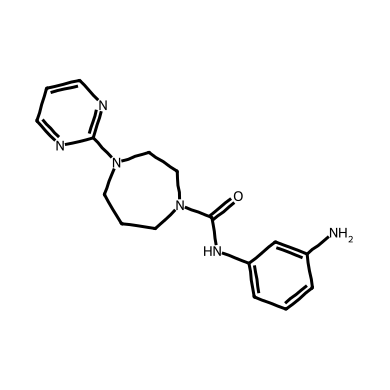 Nc1cccc(NC(=O)N2CCCN(c3ncccn3)CC2)c1